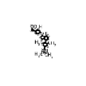 Cc1cc(-c2nc(C)n(C)n2)cc(C)c1-c1ccc(F)c2c1CC[C@H]2Oc1ccc([C@H]2C[C@@H]2C(=O)O)cc1